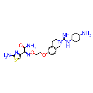 N=C(NC1CCC(N)CC1)N1CCc2cc(OCCO/N=C(\C(N)=O)c3csc(N)n3)ccc2C1